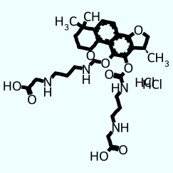 C[C@H]1COc2c1c(OC(=O)NCCCNCC(=O)O)c(OC(=O)NCCCNCC(=O)O)c1c3c(ccc21)C(C)(C)CCC3.Cl.Cl